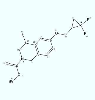 CC(C)OC(=O)N1Cc2ccc(OCC3CC3(F)F)cc2C(F)C1